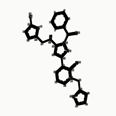 O=C(c1ccccc1)n1nc(-c2cccn(Cc3ccco3)c2=O)cc1NCc1ccc(Cl)s1